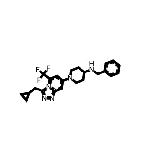 FC(F)(F)c1cc(N2CCC(NCc3ccccc3)CC2)cc2nnc(CC3CC3)n12